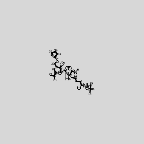 CNC(=O)[C@H](CCCCC(=O)NOC(C)(C)C)NC(=O)N(O)C(=O)[C@H](CCC(C)C)CSc1cccs1